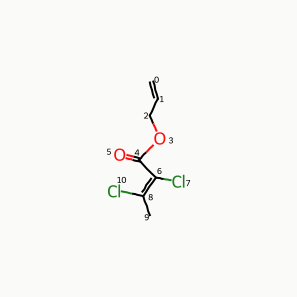 C=CCOC(=O)C(Cl)=C(C)Cl